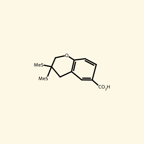 CSC1(SC)COc2ccc(C(=O)O)cc2C1